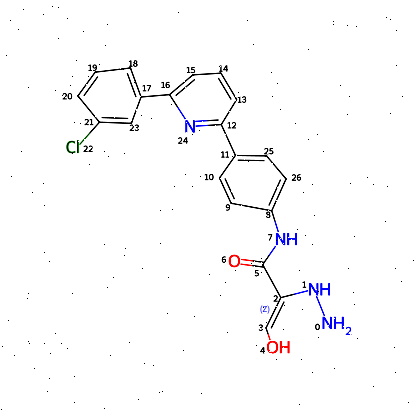 NN/C(=C\O)C(=O)Nc1ccc(-c2cccc(-c3cccc(Cl)c3)n2)cc1